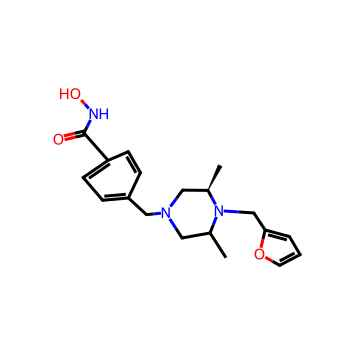 CC1CN(Cc2ccc(C(=O)NO)cc2)C[C@@H](C)N1Cc1ccco1